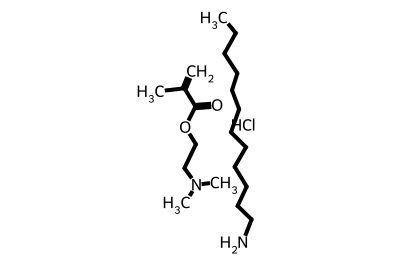 C=C(C)C(=O)OCCN(C)C.CCCCCCCCCCCCN.Cl